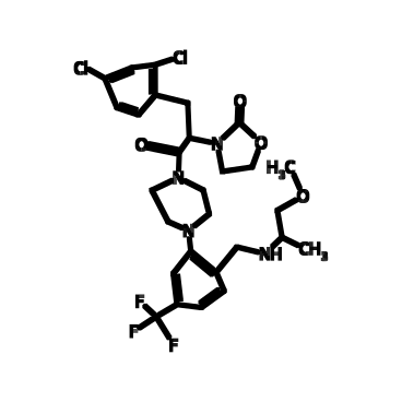 COCC(C)NCc1ccc(C(F)(F)F)cc1N1CCN(C(=O)C(Cc2ccc(Cl)cc2Cl)N2CCOC2=O)CC1